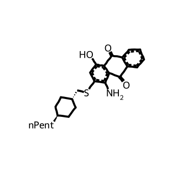 CCCCC[C@H]1CC[C@H](CSc2cc(O)c3c(c2N)C(=O)c2ccccc2C3=O)CC1